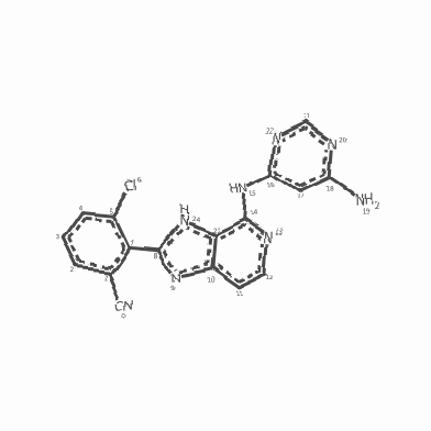 N#Cc1cccc(Cl)c1-c1nc2ccnc(Nc3cc(N)ncn3)c2[nH]1